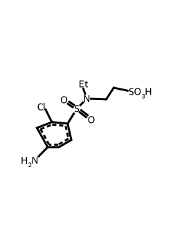 CCN(CCS(=O)(=O)O)S(=O)(=O)c1ccc(N)cc1Cl